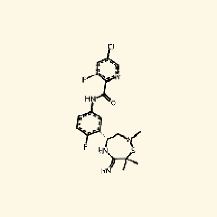 CN1C[C@@H](c2cc(NC(=O)c3ncc(Cl)cc3F)ccc2F)NC(=N)C(C)(C)S1